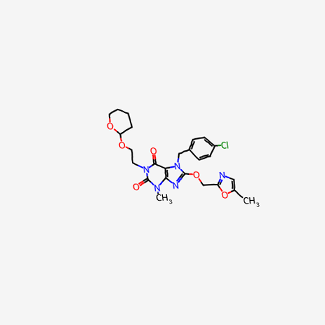 Cc1cnc(COc2nc3c(c(=O)n(CCOC4CCCCO4)c(=O)n3C)n2Cc2ccc(Cl)cc2)o1